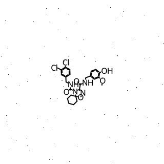 COc1cc(CNC(=O)C2=NOC3(CCCCC3)N2C(=O)NCc2ccc(Cl)c(Cl)c2)ccc1O